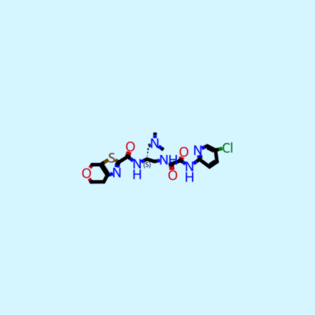 CN(C)C[C@H](CNC(=O)C(=O)Nc1ccc(Cl)cn1)NC(=O)c1nc2c(s1)COCC2